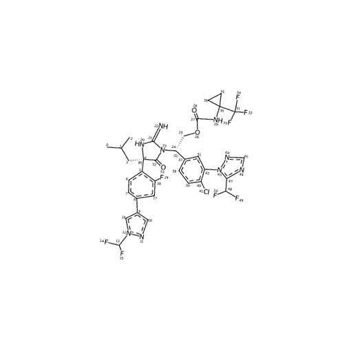 CC(C)C[C@]1(c2ccc(-c3cnn(C(F)F)c3)cc2F)NC(=N)N([C@H](COC(=O)NC2(C(F)(F)F)CC2)c2ccc(Cl)c(-n3ncnc3C(F)F)c2)C1=O